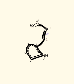 O/N=C\c1ccc[nH]1